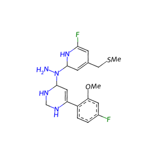 COc1cc(F)ccc1C1=CC(N(N)C2C=C(CSC)C=C(F)N2)NCN1